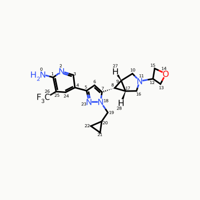 Nc1ncc(-c2cc([C@@H]3[C@@H]4CN(C5COC5)C[C@@H]43)n(CC3CC3)n2)cc1C(F)(F)F